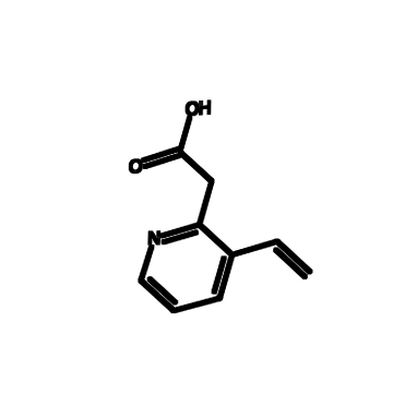 C=Cc1cccnc1CC(=O)O